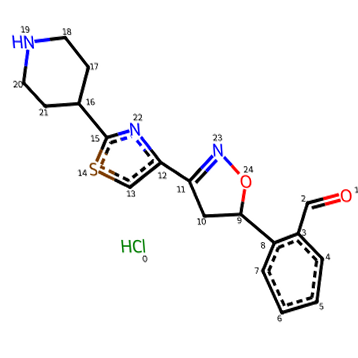 Cl.O=Cc1ccccc1C1CC(c2csc(C3CCNCC3)n2)=NO1